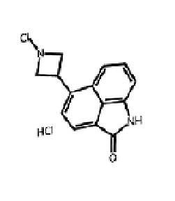 Cl.O=C1Nc2cccc3c(C4CN(Cl)C4)ccc1c23